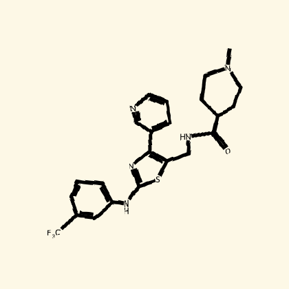 CN1CCC(C(=O)NCc2sc(Nc3cccc(C(F)(F)F)c3)nc2-c2cccnc2)CC1